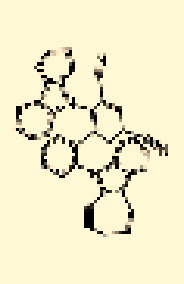 N#CC1=CC(C#N)CC(c2ccccc2-n2c3c(c4ccccc42)C=CCC#C3)=C1n1c2ccccc2c2ccccc21